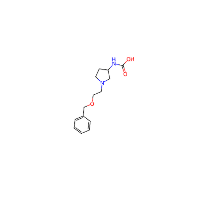 O=C(O)NC1CCN(CCOCc2ccccc2)C1